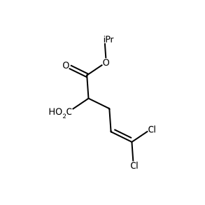 CC(C)OC(=O)C(CC=C(Cl)Cl)C(=O)O